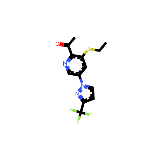 CCSc1cc(-n2ccc(C(F)(F)F)n2)cnc1C(C)=O